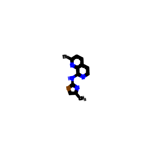 CCc1ccc2ccnc(Nc3nc(C)cs3)c2n1